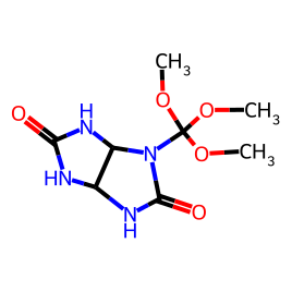 COC(OC)(OC)N1C(=O)NC2NC(=O)NC21